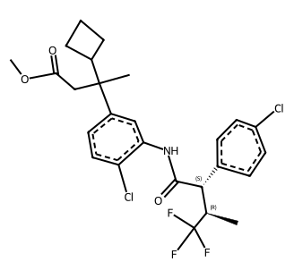 COC(=O)CC(C)(c1ccc(Cl)c(NC(=O)[C@H](c2ccc(Cl)cc2)[C@@H](C)C(F)(F)F)c1)C1CCC1